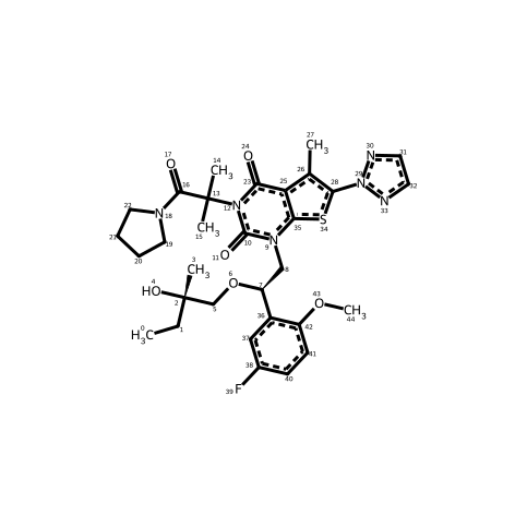 CC[C@](C)(O)CO[C@@H](Cn1c(=O)n(C(C)(C)C(=O)N2CCCC2)c(=O)c2c(C)c(-n3nccn3)sc21)c1cc(F)ccc1OC